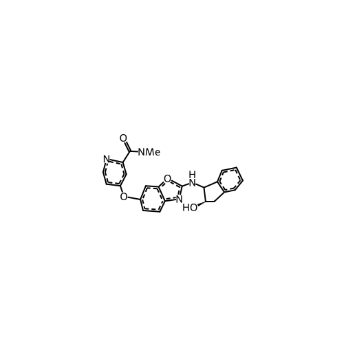 CNC(=O)c1cc(Oc2ccc3nc(NC4c5ccccc5C[C@H]4O)oc3c2)ccn1